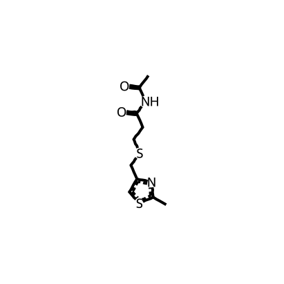 CC(=O)NC(=O)CCSCc1csc(C)n1